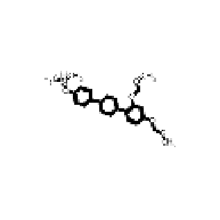 COCOc1ccc(C2=CCC(c3ccc(O[SiH](C)C)cc3)CC2)c(OCOC)c1